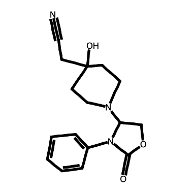 N#CCC1(O)CCN(C2COC(=O)N2c2ccccc2)CC1